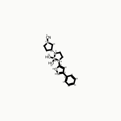 N#CN1CC[C@@H](N2CCN(c3cc(-c4ccccc4)no3)S2(O)O)C1